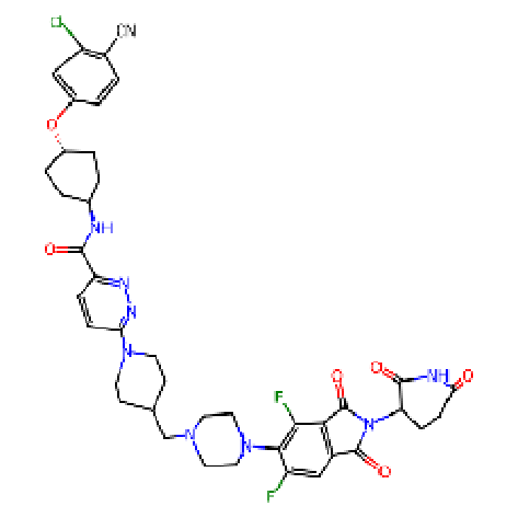 N#Cc1ccc(O[C@H]2CC[C@H](NC(=O)c3ccc(N4CCC(CN5CCN(c6c(F)cc7c(c6F)C(=O)N(C6CCC(=O)NC6=O)C7=O)CC5)CC4)nn3)CC2)cc1Cl